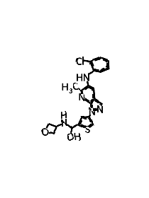 Cc1nc2c(cnn2-c2csc(C(O)NC3COC3)c2)cc1Nc1ccccc1Cl